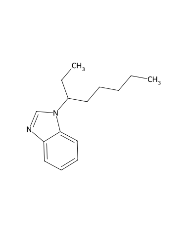 CCCCCC(CC)n1cnc2ccccc21